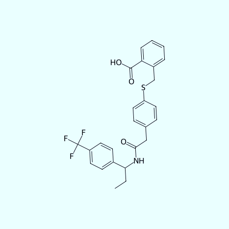 CCC(NC(=O)Cc1ccc(SCc2ccccc2C(=O)O)cc1)c1ccc(C(F)(F)F)cc1